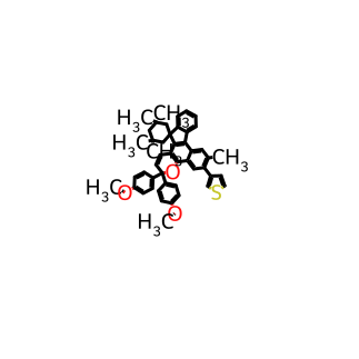 COc1ccc(C2(c3ccc(OC)cc3)C=Cc3c4c(c5cc(C)c(-c6ccsc6)cc5c3O2)-c2ccccc2C42CC(C)(C)CC(C)(C)C2)cc1